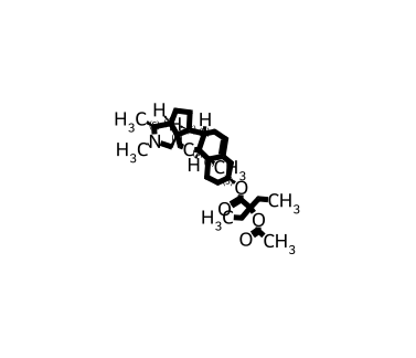 CCC(CC)(OC(C)=O)C(=O)O[C@H]1CC[C@@]2(C)C(=CC[C@H]3[C@@H]4CC[C@@H]5[C@H](C)N(C)C[C@@]54CC[C@@H]32)C1